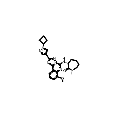 COc1cccc2c1nc(N[C@@H]1CCCCNC1=O)n1nc(-c3cnn(C4CCC4)c3)nc21